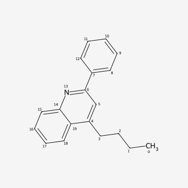 CCCCc1cc(-c2ccccc2)nc2ccccc12